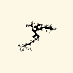 CCC(CC)n1cc(-c2cnn(COCCS(C)(C)C)c2)c2cc(C#CC(C)(C)O)ncc21